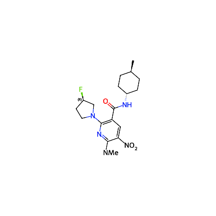 CNc1nc(N2CC[C@@H](F)C2)c(C(=O)N[C@H]2CC[C@H](C)CC2)cc1[N+](=O)[O-]